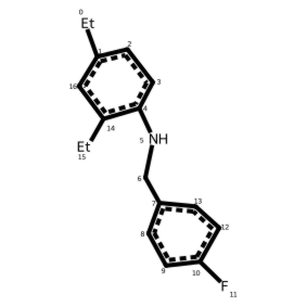 CCc1ccc(NCc2ccc(F)cc2)c(CC)c1